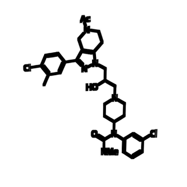 CNC(=O)N(c1cccc(Cl)c1)C1CCN(CC(O)Cn2nc(-c3ccc(Cl)c(C)c3)c3c2CCN(C(C)=O)C3)CC1